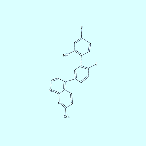 N#Cc1cc(F)ccc1-c1cc(-c2ccnc3nc(C(F)(F)F)ccc23)ccc1F